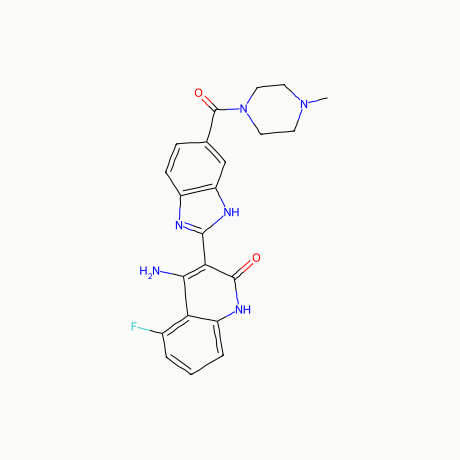 CN1CCN(C(=O)c2ccc3nc(-c4c(N)c5c(F)cccc5[nH]c4=O)[nH]c3c2)CC1